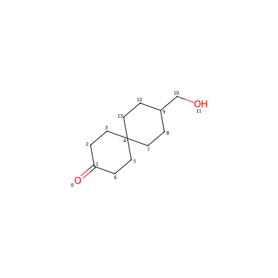 O=C1CCC2(CC1)CCC(CO)CC2